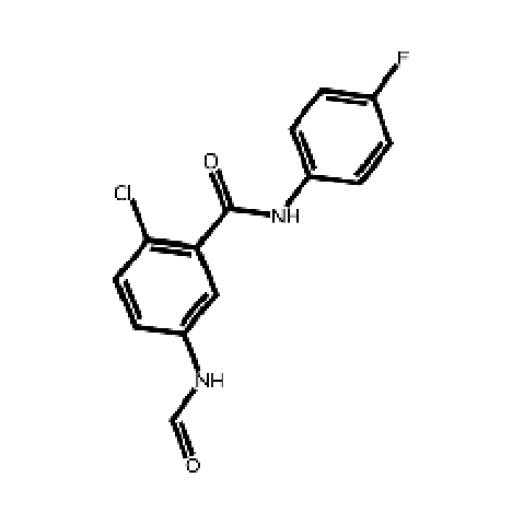 O=CNc1ccc(Cl)c(C(=O)Nc2ccc(F)cc2)c1